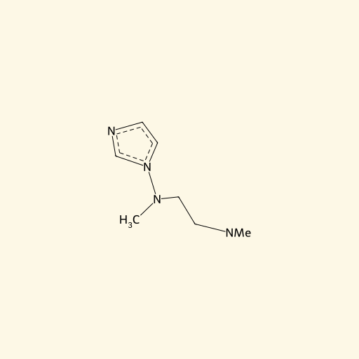 CNCCN(C)n1ccnc1